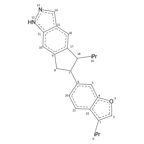 CC(C)c1coc2cc(C3Cc4cc5[nH]ncc5cc4C3C(C)C)ccc12